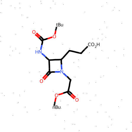 CCCCOC(=O)CN1C(=O)C(NC(=O)OC(C)(C)C)C1CCC(=O)O